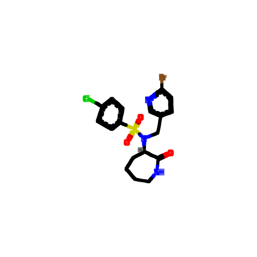 O=C1NCCCC[C@H]1N(Cc1ccc(Br)nc1)S(=O)(=O)c1ccc(Cl)cc1